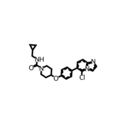 O=C(NCC1CC1)N1CCC(Oc2ccc(-c3ccc4nccn4c3Cl)cc2)CC1